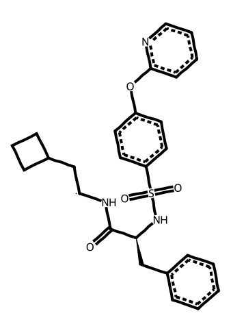 O=C(N[CH]CC1CCC1)[C@H](Cc1ccccc1)NS(=O)(=O)c1ccc(Oc2ccccn2)cc1